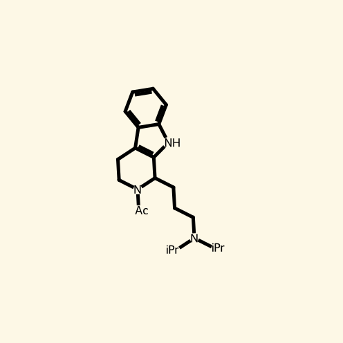 CC(=O)N1CCc2c([nH]c3ccccc23)C1CCCN(C(C)C)C(C)C